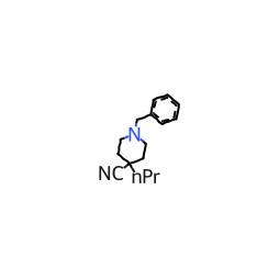 CCCC1(C#N)CCN(Cc2ccccc2)CC1